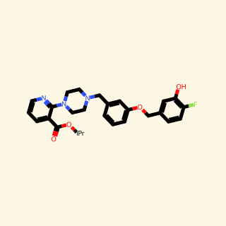 CC(C)OC(=O)c1cccnc1N1CCN(Cc2cccc(OCc3ccc(F)c(O)c3)c2)CC1